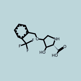 O=C(O)[C@H]1NCC(OCc2ccccc2C(F)(F)F)C1O